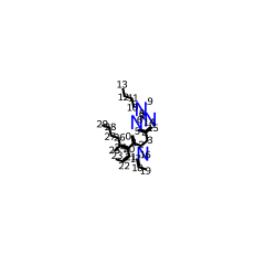 C=C(/C(Cc1cnc(N(C)CCCC)nc1)=N\C=C/C)C(/C=C\C)=C(/C)CCCC